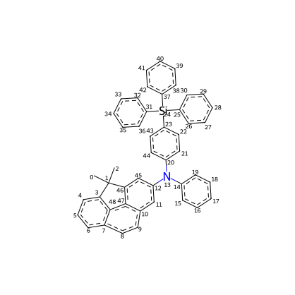 CC1(C)c2cccc3ccc4cc(N(c5ccccc5)c5ccc([Si](c6ccccc6)(c6ccccc6)c6ccccc6)cc5)cc1c4c23